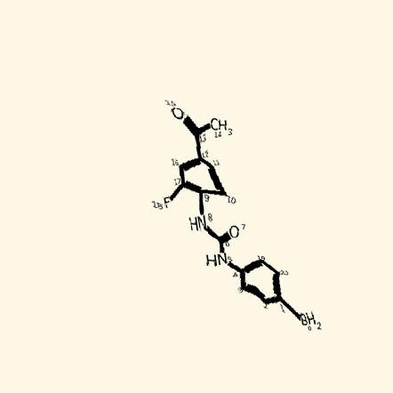 Bc1ccc(NC(=O)Nc2ccc(C(C)=O)cc2F)cc1